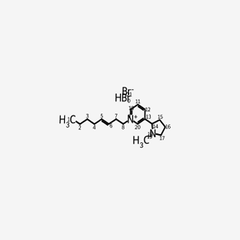 Br.CCCC/C=C/CC[n+]1cccc(C2CCCN2C)c1.[Br-]